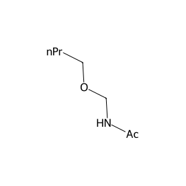 CCCCOCNC(C)=O